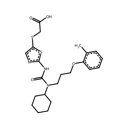 Cc1ccccc1OCCCN(C(=O)Nc1ncc(SCC(=O)O)s1)C1CCCCC1